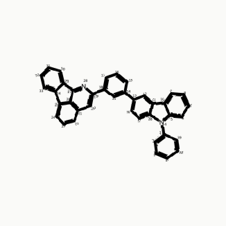 c1ccc(-n2c3ccccc3c3cc(-c4cccc(-c5cc6cccc7c6c(n5)-c5ccccc5-7)c4)ccc32)cc1